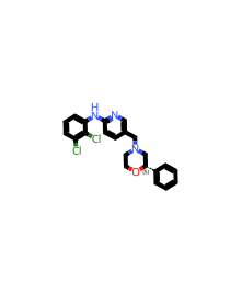 Clc1cccc(Nc2ccc(CN3CCO[C@@H](c4ccccc4)C3)cn2)c1Cl